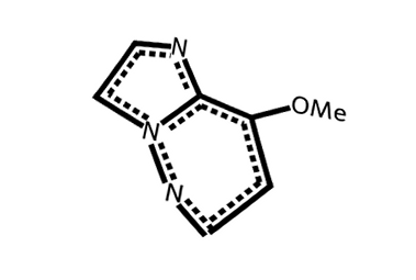 COc1ccnn2ccnc12